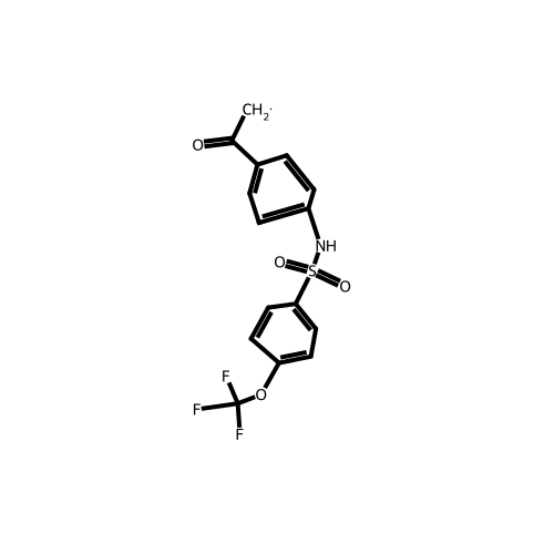 [CH2]C(=O)c1ccc(NS(=O)(=O)c2ccc(OC(F)(F)F)cc2)cc1